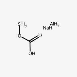 O=C(O)O[SiH3].[AlH3].[NaH]